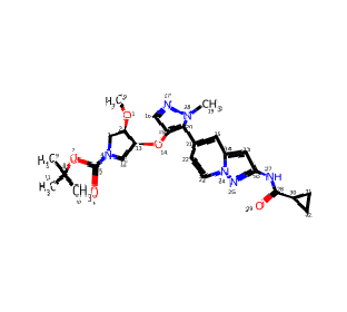 CO[C@@H]1CN(C(=O)OC(C)(C)C)C[C@@H]1Oc1cnn(C)c1-c1ccn2nc(NC(=O)C3CC3)cc2c1